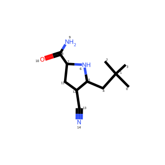 CC(C)(C)CC1NC(C(N)=O)CC1C#N